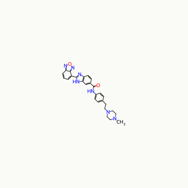 CN1CCN(CCc2ccc(NC(=O)c3ccc4nc(-c5cccc6nonc56)[nH]c4c3)cc2)CC1